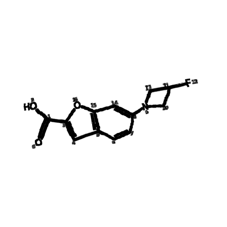 O=C(O)c1cc2ccc(N3CC(F)C3)cc2o1